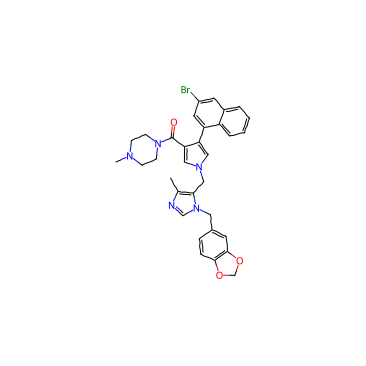 Cc1ncn(Cc2ccc3c(c2)OCO3)c1Cn1cc(C(=O)N2CCN(C)CC2)c(-c2cc(Br)cc3ccccc23)c1